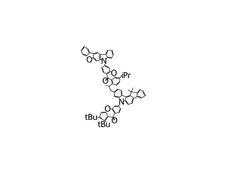 CC(C)c1ccc(C(C)Cc2ccc3c4c5c(ccc4n(-c4ccc6c(=O)c7c(C(C)(C)C)cc(C(C)(C)C)cc7oc6c4)c3c2)-c2ccccc2C5(C)C)c2c(=O)c3ccc(-n4c5ccccc5c5cc6c(cc54)oc4ccccc46)cc3oc12